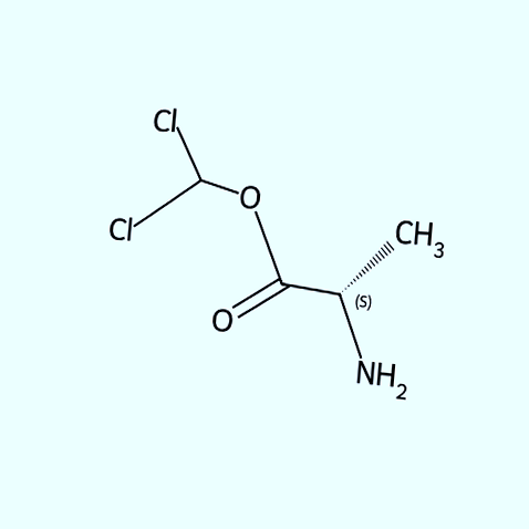 C[C@H](N)C(=O)OC(Cl)Cl